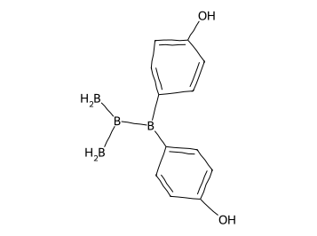 BB(B)B(c1ccc(O)cc1)c1ccc(O)cc1